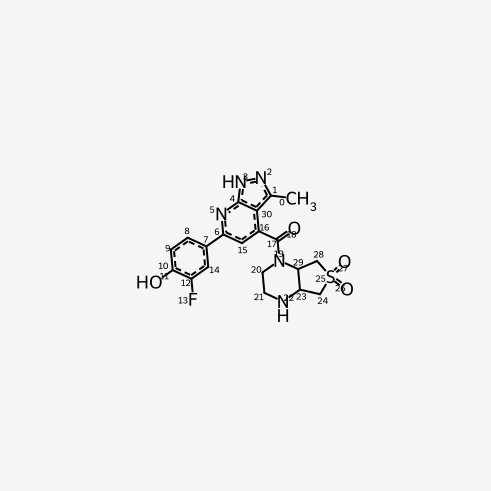 Cc1n[nH]c2nc(-c3ccc(O)c(F)c3)cc(C(=O)N3CCNC4CS(=O)(=O)CC43)c12